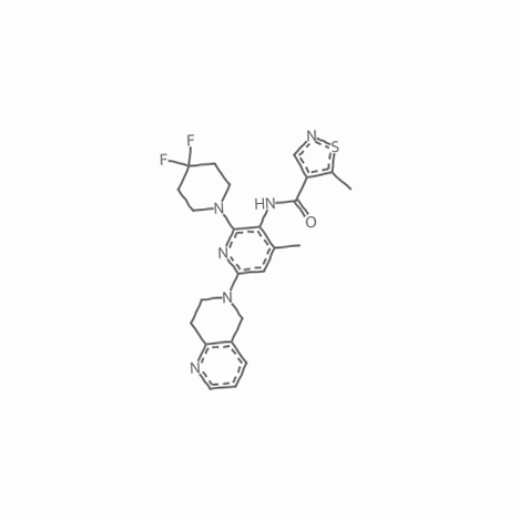 Cc1cc(N2CCc3ncccc3C2)nc(N2CCC(F)(F)CC2)c1NC(=O)c1cnsc1C